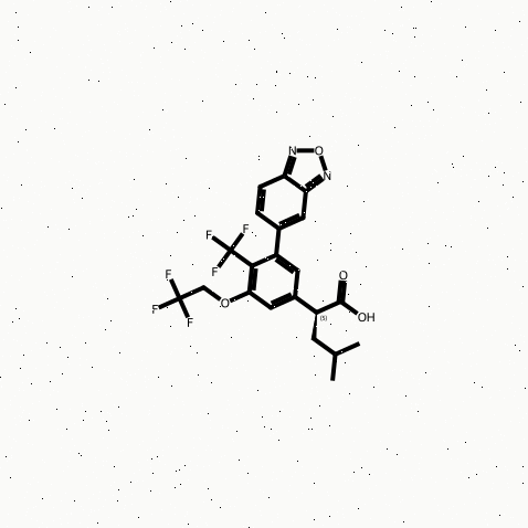 CC(C)C[C@H](C(=O)O)c1cc(OCC(F)(F)F)c(C(F)(F)F)c(-c2ccc3nonc3c2)c1